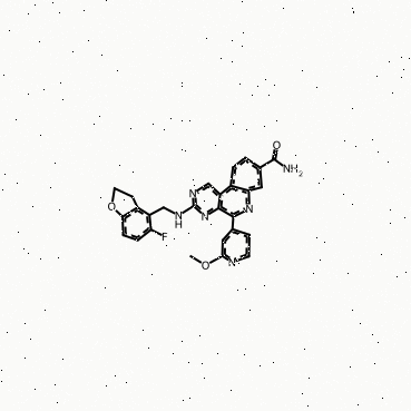 COc1cc(-c2nc3cc(C(N)=O)ccc3c3cnc(NCc4c(F)ccc5c4CCO5)nc23)ccn1